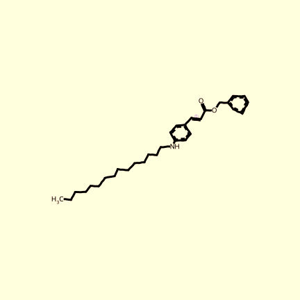 CCCCCCCCCCCCCCCNc1ccc(/C=C/C(=O)OCc2ccccc2)cc1